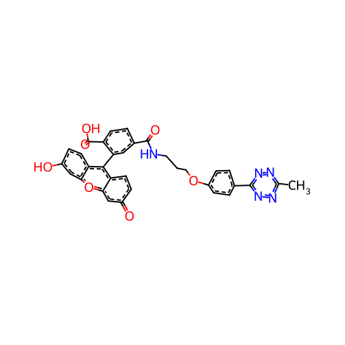 Cc1nnc(-c2ccc(OCCCNC(=O)c3ccc(C(=O)O)c(-c4c5ccc(=O)cc-5oc5cc(O)ccc45)c3)cc2)nn1